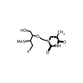 CSC(CF)C(CO)OCn1cc(C)c(=O)[nH]c1=O